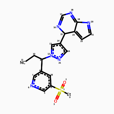 CCS(=O)(=O)c1cncc(C(CC#N)n2cc(C3N=CN=C4N=CC=C43)cn2)c1